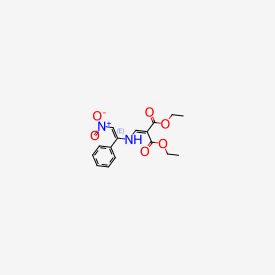 CCOC(=O)C(=CN/C(=C/[N+](=O)[O-])c1ccccc1)C(=O)OCC